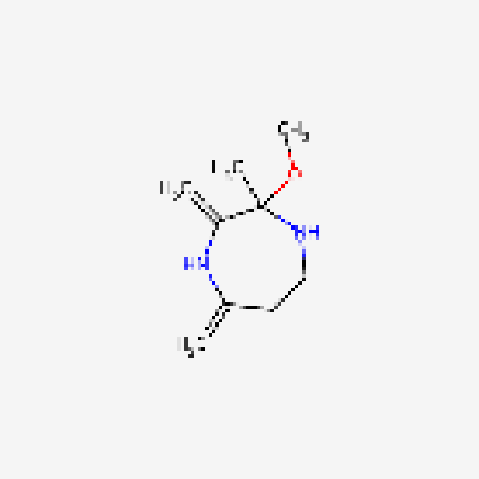 C=C1CCNC(C)(OC)C(=C)N1